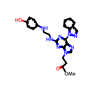 COC(=O)CCn1cnc2c(-n3ncc4ccccc43)nc(NCCNc3ccc(O)cc3)nc21